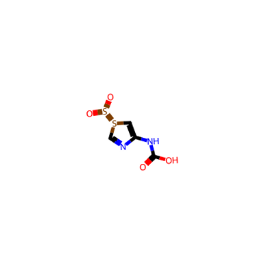 O=C(O)NC1=CS(=S(=O)=O)C=N1